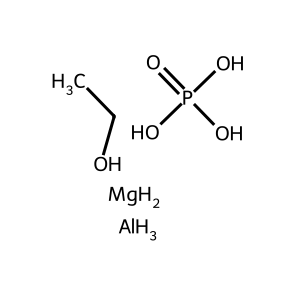 CCO.O=P(O)(O)O.[AlH3].[MgH2]